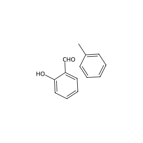 Cc1ccccc1.O=Cc1ccccc1O